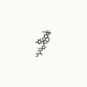 CCNC(=O)NCC1(O)CCN(C(=O)C[C@@H]2CCc3cc(C(C)(O)C(F)(F)F)ccc3N2S(=O)(=O)c2ccc(F)cc2)C1